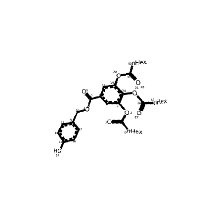 CCCCCCC(=O)Oc1cc(C(=O)OCc2ccc(O)cc2)cc(OC(=O)CCCCCC)c1OC(=O)CCCCCC